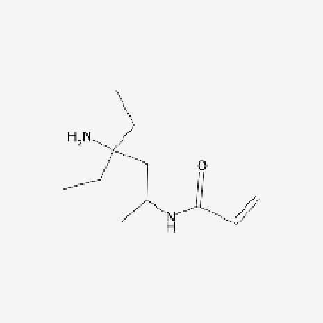 C=CC(=O)NC(C)CC(N)(CC)CC